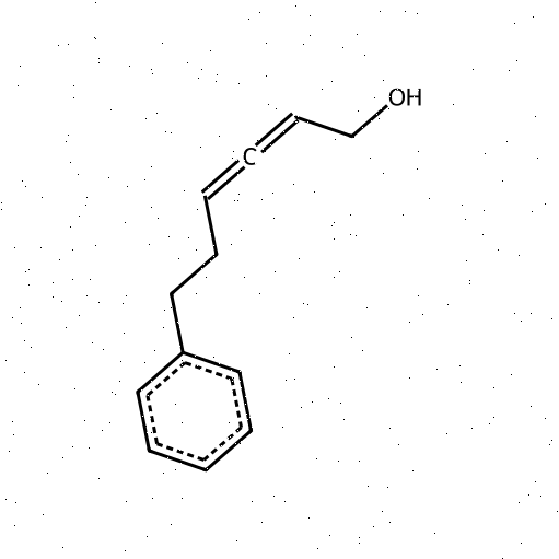 OCC=C=CCCc1ccccc1